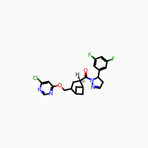 O=C([C@H]1CC(COc2cc(Cl)ncn2)C2CC1C2)N1N=CCC1c1cc(F)cc(F)c1